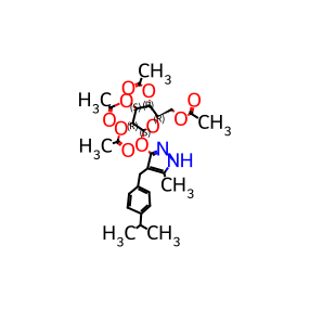 CC(=O)OC[C@H]1O[C@@H](Oc2n[nH]c(C)c2Cc2ccc(C(C)C)cc2)[C@H](OC(C)=O)[C@@H](OC(C)=O)[C@@H]1OC(C)=O